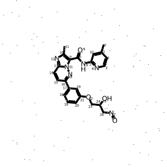 Cc1ccnc(NC(=O)c2c(C)nc3ccc(-c4cccc(OCC(O)CN=O)c4)nn23)c1